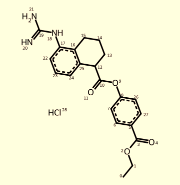 CCOC(=O)c1ccc(OC(=O)C2CCCc3c(NC(=N)N)cccc32)cc1.Cl